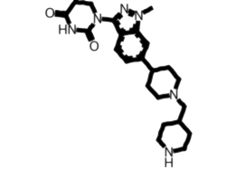 Cn1nc(N2CCC(=O)NC2=O)c2ccc(C3CCN(CC4CCNCC4)CC3)cc21